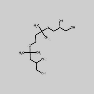 CC(C)(CCOC(C)(C)CC(O)CO)OCC(O)CO